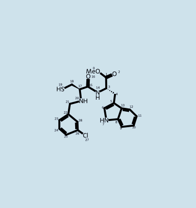 COC(=O)[C@H](Cc1c[nH]c2ccccc12)NC(=O)[C@H](CS)NCc1cccc(Cl)c1